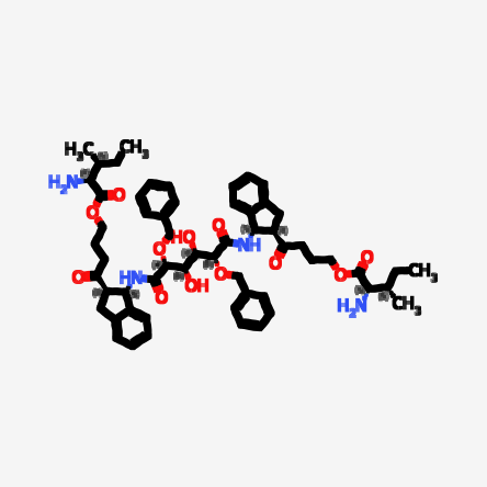 CC[C@H](C)[C@H](N)C(=O)OCCCC(=O)[C@@H]1Cc2ccccc2[C@H]1NC(=O)[C@H](OCc1ccccc1)[C@H](O)[C@@H](O)[C@@H](OCc1ccccc1)C(=O)N[C@@H]1c2ccccc2C[C@H]1C(=O)CCCOC(=O)[C@@H](N)[C@@H](C)CC